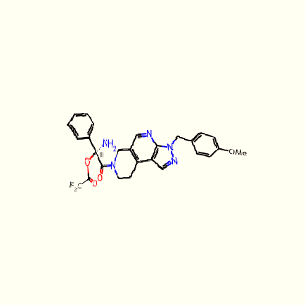 COc1ccc(Cn2ncc3c4c(cnc32)CN(C(=O)[C@@](N)(OC(=O)C(F)(F)F)c2ccccc2)CC4)cc1